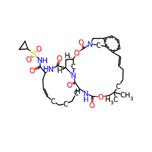 CC1(C)CCC/C=C/c2cccc3c2CN(C3)C(=O)O[C@@H]2C[C@H]3C(=O)NC(C(=O)NS(=O)(=O)C4CC4)C/C=C\CCCCC[C@H](NC(=O)OC1)C(=O)N3C2